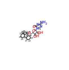 CC(C)(C)[Si](OC[C@H]1O[C@@H](n2cnc(N)nc2=O)[C@H](O)[C@@H]1O)(c1ccccc1)c1ccccc1